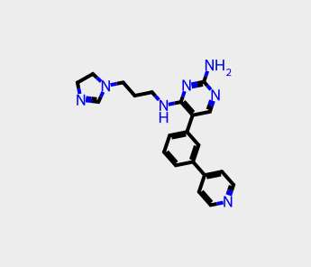 Nc1ncc(-c2cccc(-c3ccncc3)c2)c(NCCCN2C=NCC2)n1